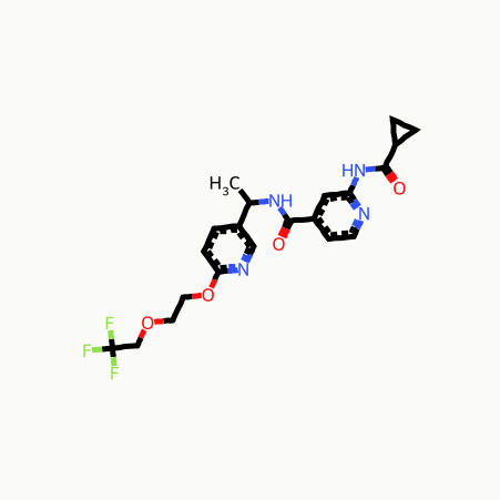 CC(NC(=O)c1ccnc(NC(=O)C2CC2)c1)c1ccc(OCCOCC(F)(F)F)nc1